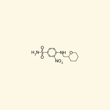 NS(=O)(=O)c1ccc(NCC2CCCCO2)c([N+](=O)[O-])c1